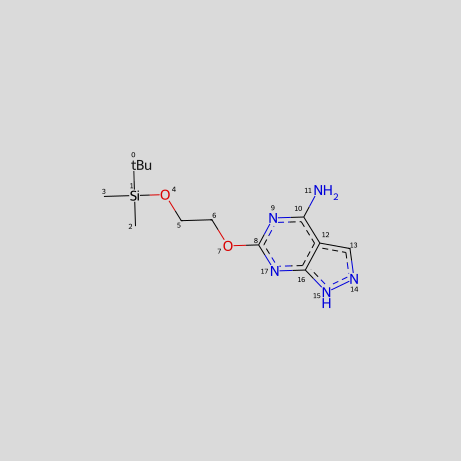 CC(C)(C)[Si](C)(C)OCCOc1nc(N)c2cn[nH]c2n1